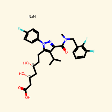 CC(C)c1c(C(=O)N(C)Cc2cccc(F)c2F)nn(-c2ccc(F)cc2)c1CC[C@@H](O)C[C@@H](O)CC(=O)O.[NaH]